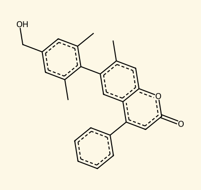 Cc1cc2oc(=O)cc(-c3ccccc3)c2cc1-c1c(C)cc(CO)cc1C